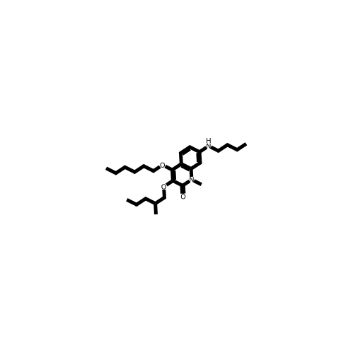 CCCCCCOc1c(OCC(C)CCC)c(=O)n(C)c2cc(NCCCC)ccc12